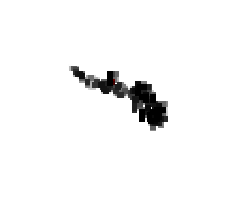 CCCCCC1CCC(c2ccc(-c3ccc(-c4cc(F)c(C(F)(F)Oc5cc(F)c(OC(F)(F)F)c(F)c5)c(F)c4)cc3)c(F)c2)CC1